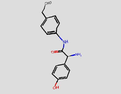 N[C@H](C(=O)Nc1ccc(CC=O)cc1)c1ccc(O)cc1